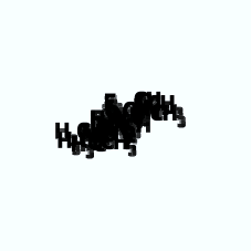 CC[C@H](NC(=O)[C@H](C)NC)C(=O)N1CCC[C@H]1Cc1c(-c2nc3cc(F)ccc3n2C[C@@H]2C[C@H](F)CN2C(=O)C(NC(=O)[C@H](C)NC)C(C)C)[nH]c2cc(F)ccc12